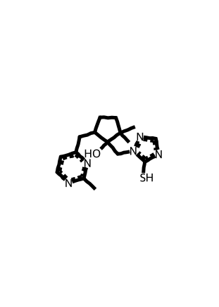 Cc1nccc(CC2CCC(C)(C)C2(O)Cn2ncnc2S)n1